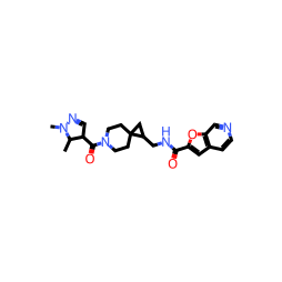 CC1C(C(=O)N2CCC3(CC2)CC3CNC(=O)c2cc3ccncc3o2)C=NN1C